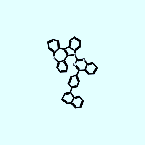 c1ccc2c(c1)Oc1ccccc1-c1c-2c2ccccc2n1-c1nc(-c2ccc(-c3cccc4ccccc34)cc2)c2ccccc2n1